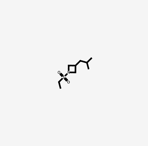 CCS(=O)(=O)N1CC(CC(C)C)C1